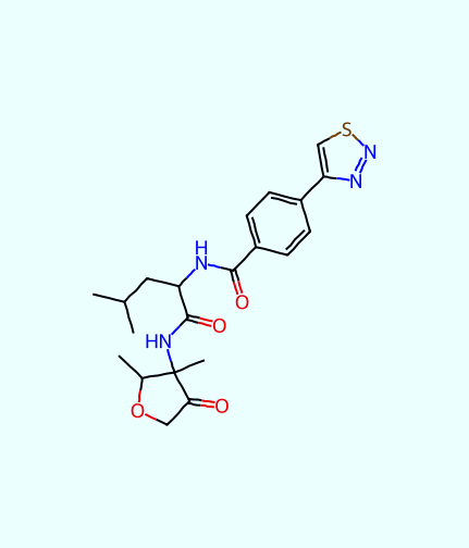 CC(C)CC(NC(=O)c1ccc(-c2csnn2)cc1)C(=O)NC1(C)C(=O)COC1C